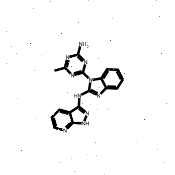 Cc1nc(N)nc(-n2c(Nc3n[nH]c4ncccc34)nc3ccccc32)n1